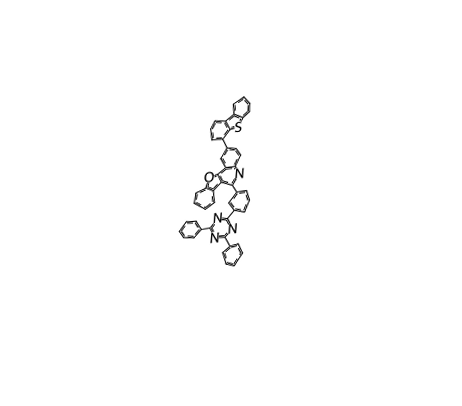 c1ccc(-c2nc(-c3ccccc3)nc(-c3cccc(-c4nc5ccc(-c6cccc7c6sc6ccccc67)cc5c5oc6ccccc6c45)c3)n2)cc1